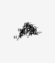 Nc1ccc(S(=O)(=O)[O-])cc1.Nc1ccc(S(=O)(=O)[O-])cc1.Nc1ccc(S(=O)(=O)[O-])cc1.Nc1ccc(S(=O)(=O)[O-])cc1.[Al+3].[Li+]